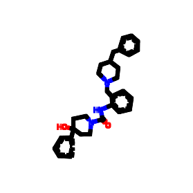 O=C(Nc1ccccc1CN1CCC(Cc2ccccc2)CC1)N1CCC(O)(c2ccccc2)CC1